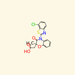 CC1(CC(=O)O)Oc2ccccc2N(c2nc3cccc(Cl)c3s2)C1=O